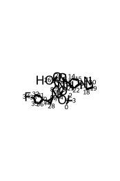 CC(C)(C)OC(=O)N(CC(NC(=O)c1ccc(-n2cccn2)cc1)C(=O)O)[C@@H]1C[C@H]1c1ccc(F)cc1